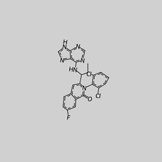 CCC(Nc1ncnc2[nH]cnc12)c1cc2ccc(F)cc2c(=O)n1-c1c(Cl)cccc1Cl